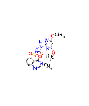 COc1cc(OC)nc(NC(=O)NS(=O)(=O)c2cccc3ncn(C)c(=O)c23)n1